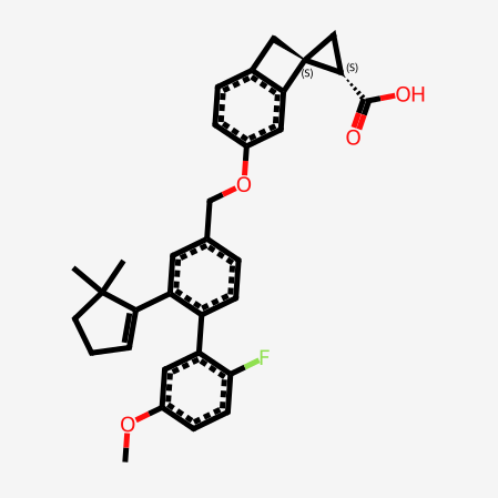 COc1ccc(F)c(-c2ccc(COc3ccc4c(c3)[C@]3(C4)C[C@@H]3C(=O)O)cc2C2=CCCC2(C)C)c1